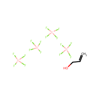 C=CCO.F[B-](F)(F)F.F[B-](F)(F)F.F[B-](F)(F)F.F[B-](F)(F)F